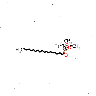 CCCCCCCCCCCCCCCCCCCC(=O)SC[Si](OCC)(OCC)OCC